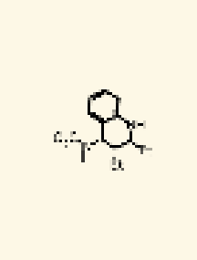 CC[C@H]1[C@H](CC)Nc2ccccc2[C@@H]1NC(=O)O